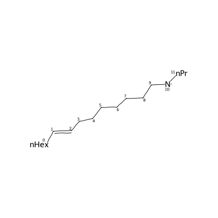 CCCCCCC=CCCCCCCC[N]CCC